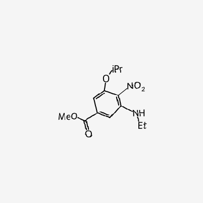 CCNc1cc(C(=O)OC)cc(OC(C)C)c1[N+](=O)[O-]